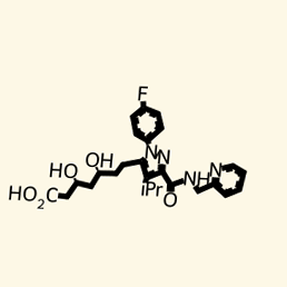 CC(C)c1c(C(=O)NCc2ccccn2)nn(-c2ccc(F)cc2)c1CC[C@@H](O)C[C@@H](O)CC(=O)O